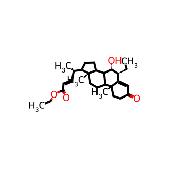 CCOC(=O)/C=C/[C@@H](C)C1CCC2C3C(CC[C@@]21C)[C@@]1(C)CCC(=O)C=C1[C@H](CC)[C@H]3O